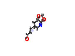 O=C/C=C/c1cnc2c(c1)OCO2